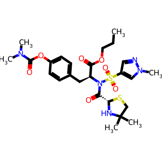 CCCOC(=O)[C@H](Cc1ccc(OC(=O)N(C)C)cc1)N(C(=O)[C@H]1NC(C)(C)CS1)S(=O)(=O)c1cnn(C)c1